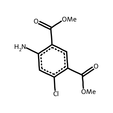 COC(=O)c1cc(C(=O)OC)c(Cl)cc1N